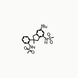 CC(C)(C)c1cc2c(c(NS(C)(=O)=O)c1)CC(C)(c1ccccc1NS(C)(=O)=O)C2